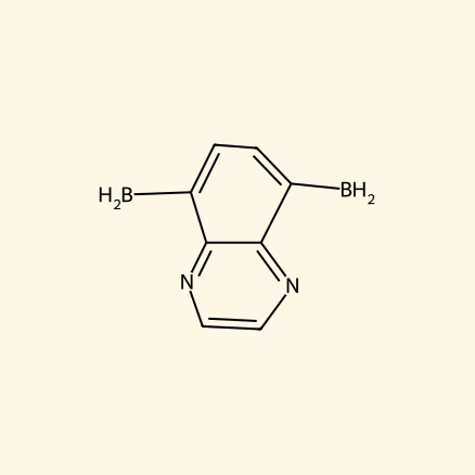 Bc1ccc(B)c2nccnc12